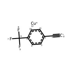 [C-]#Cc1ccc(C(F)(F)F)cc1.[Cu+]